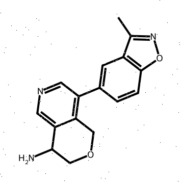 Cc1noc2ccc(-c3cncc4c3COCC4N)cc12